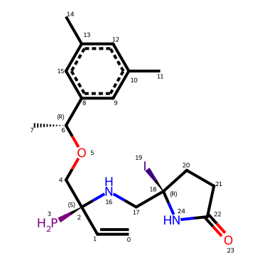 C=C[C@](P)(CO[C@H](C)c1cc(C)cc(C)c1)NC[C@]1(I)CCC(=O)N1